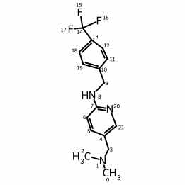 CN(C)Cc1ccc(NCc2ccc(C(F)(F)F)cc2)nc1